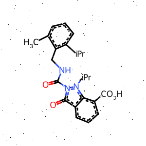 Cc1cccc(C(C)C)c1CNC(=O)n1c(=O)c2cccc(C(=O)O)c2n1C(C)C